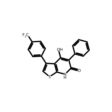 O=c1[nH]c2scc(-c3ccc(C(F)(F)F)cc3)c2c(O)c1-c1ccccc1